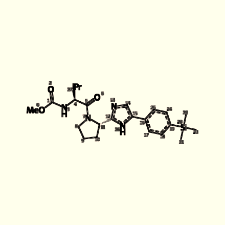 COC(=O)N[C@H](C(=O)N1CCC[C@H]1c1ncc(-c2ccc([Si](C)(C)C)cc2)[nH]1)C(C)C